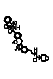 COc1cc(C(=O)NS(=O)(=O)c2ccccc2Cl)ccc1Cc1cn(C)c2ccc(CCNC(=O)N3CCOCC3)cc12